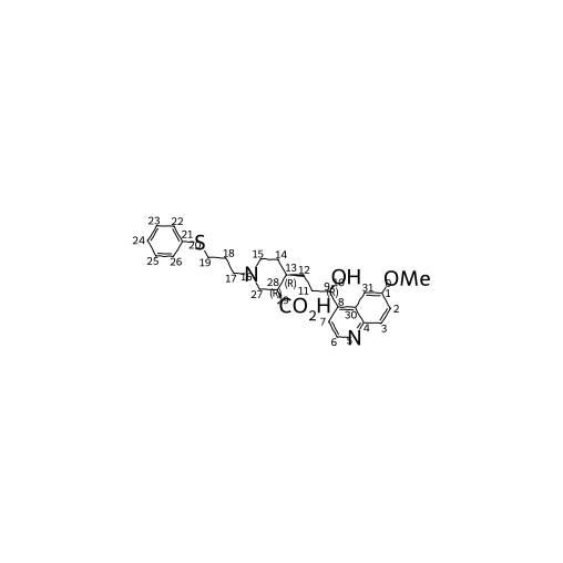 COc1ccc2nccc([C@H](O)CC[C@@H]3CCN(CCCSc4ccccc4)C[C@@H]3C(=O)O)c2c1